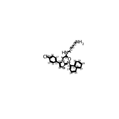 NCCCCNC(=O)Cn1c(-c2ccc(Cl)cc2)csc1=Nc1cccc2ccccc12